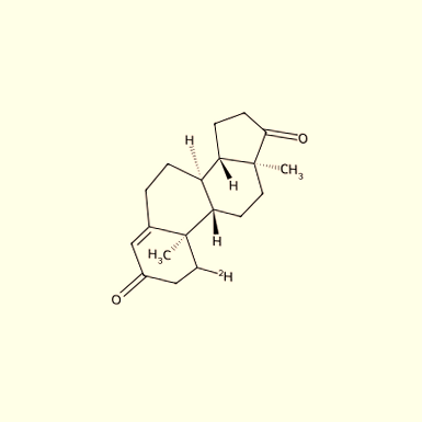 [2H]C1CC(=O)C=C2CC[C@H]3[C@@H]4CCC(=O)[C@@]4(C)CC[C@@H]3[C@]21C